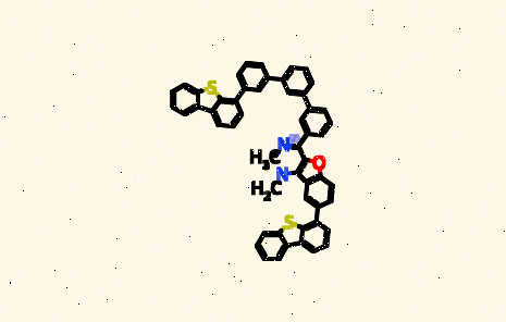 C=Nc1c(/C(=N\C)c2cccc(-c3cccc(-c4cccc(-c5cccc6c5sc5ccccc56)c4)c3)c2)oc2ccc(-c3cccc4c3sc3ccccc34)cc12